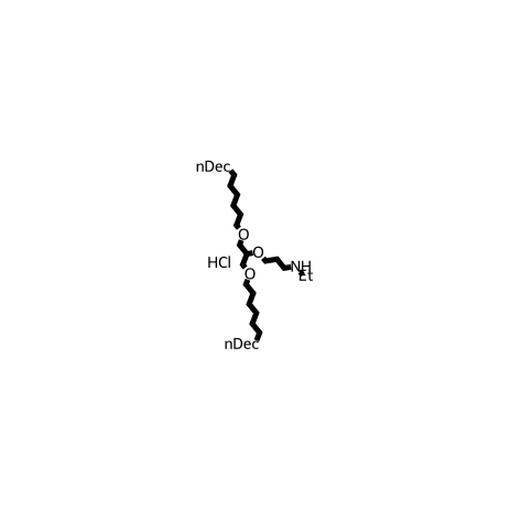 CCCCCCCCCCCCCCCCOCC(COCCCCCCCCCCCCCCCC)OCCCNCC.Cl